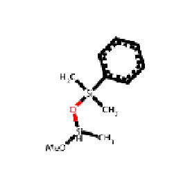 CO[SiH](C)O[Si](C)(C)c1ccccc1